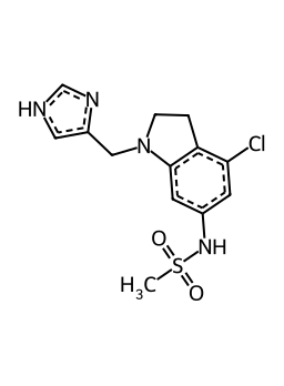 CS(=O)(=O)Nc1cc(Cl)c2c(c1)N(Cc1c[nH]cn1)CC2